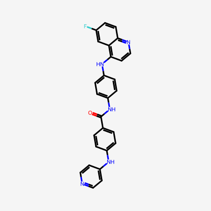 O=C(Nc1ccc(Nc2ccnc3ccc(F)cc23)cc1)c1ccc(Nc2ccncc2)cc1